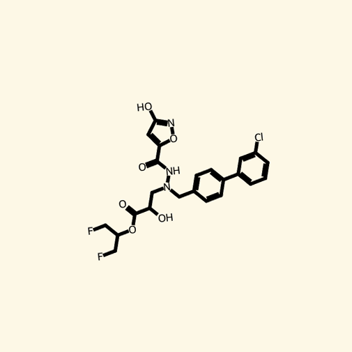 O=C(NN(Cc1ccc(-c2cccc(Cl)c2)cc1)CC(O)C(=O)OC(CF)CF)c1cc(O)no1